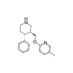 Cc1ccc(OC[C@@H]2CNCC[C@H]2c2ccccc2)nc1